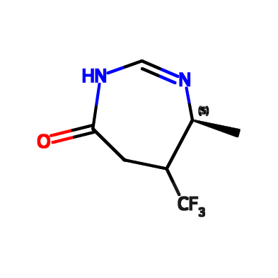 C[C@@H]1N=CNC(=O)CC1C(F)(F)F